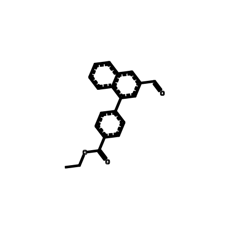 CCOC(=O)c1ccc(-c2cc(C=O)cc3ccccc23)cc1